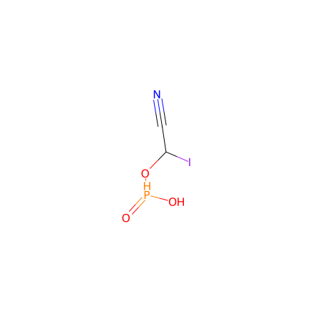 N#CC(I)O[PH](=O)O